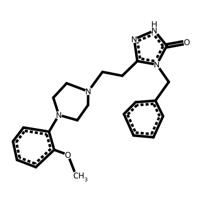 COc1ccccc1N1CCN(CCc2n[nH]c(=O)n2Cc2ccccc2)CC1